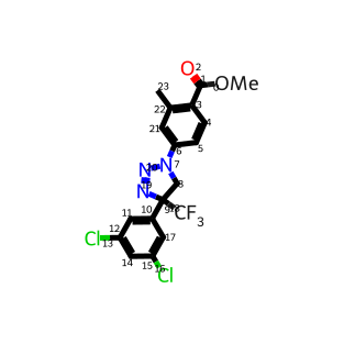 COC(=O)c1ccc(N2CC(c3cc(Cl)cc(Cl)c3)(C(F)(F)F)N=N2)cc1C